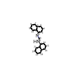 C(=N\c1cccc2ccccc12)/Nc1cccc2ccccc12